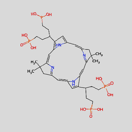 CC1(C)Cc2cc3cc(C(CCP(=O)(O)O)CCP(=O)(O)O)c(cc4nc(cc5cc(C(CCP(O)O)CCP(=O)(O)O)c(cc1n2)[nH]5)CC4(C)C)[nH]3